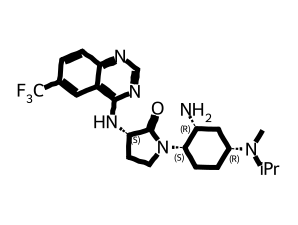 CC(C)N(C)[C@@H]1CC[C@H](N2CC[C@H](Nc3ncnc4ccc(C(F)(F)F)cc34)C2=O)[C@H](N)C1